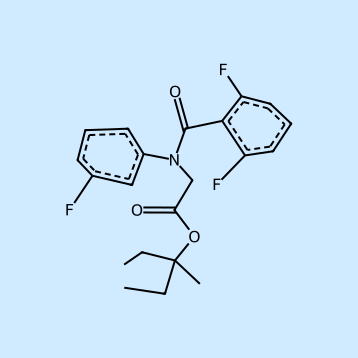 CCC(C)(CC)OC(=O)CN(C(=O)c1c(F)cccc1F)c1cccc(F)c1